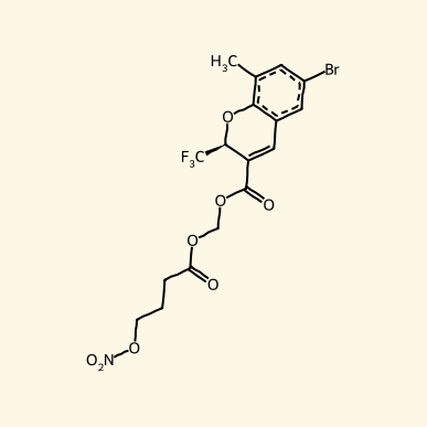 Cc1cc(Br)cc2c1O[C@H](C(F)(F)F)C(C(=O)OCOC(=O)CCCO[N+](=O)[O-])=C2